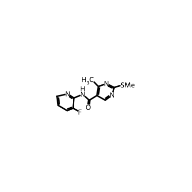 CSc1ncc(C(=O)Nc2ncccc2F)c(C)n1